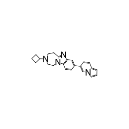 c1cc2ccc(-c3ccc4c(c3)nc3n4CCN(C4CCC4)CC3)cn2c1